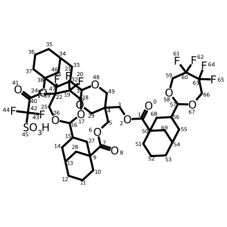 O=C(OCC1(COC(=O)C23CCCC(CC(C4OCC(F)(F)C(F)(F)CO4)C2)C3)COC(C2CC3CCCC(OC(=O)C(F)(F)S(=O)(=O)O)(C3)C2)OC1)C12CCCC(CC(C3OCC(F)(F)C(F)(F)CO3)C1)C2